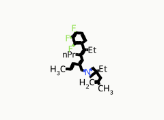 C=C(C)CC1(CC)CN(CC(/C=C/C)=C/C(CCC)=C(\CC)c2ccc(F)c(F)c2F)C1